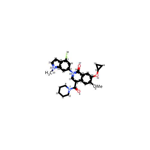 COc1cc2c(C(=O)N3CCCCC3)cn(-c3cc(F)c4ccn(C)c4c3)c(=O)c2cc1OC1CC1